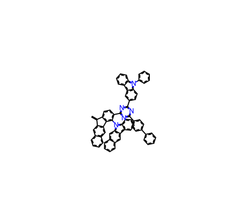 C=C1c2cc3ccccc3cc2-c2c1ccc(-c1nc(-c3ccc(-c4ccccc4)cc3)nc(-c3ccc4c(c3)c3ccccc3n4-c3ccccc3)n1)c2-n1c2ccccc2c2cc3ccccc3cc21